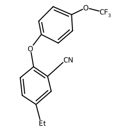 CCc1ccc(Oc2ccc(OC(F)(F)F)cc2)c(C#N)c1